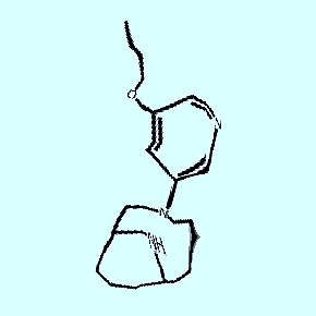 CCOc1cncc(N2CCC3CCC(C2)N3)c1